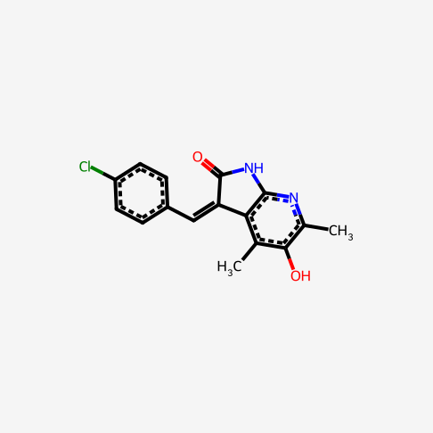 Cc1nc2c(c(C)c1O)/C(=C/c1ccc(Cl)cc1)C(=O)N2